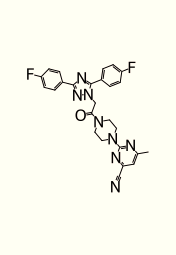 Cc1cc(C#N)nc(N2CCN(C(=O)Cn3nc(-c4ccc(F)cc4)nc3-c3ccc(F)cc3)CC2)n1